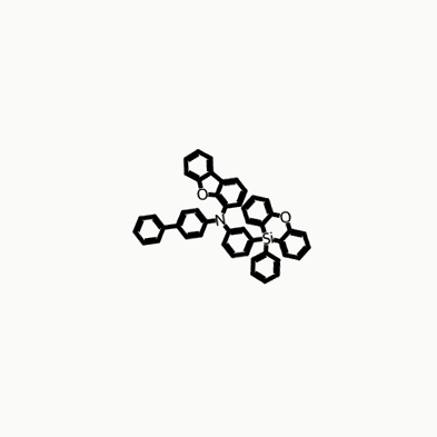 c1ccc(-c2ccc(N(c3cccc([Si]4(c5ccccc5)c5ccccc5Oc5ccccc54)c3)c3cccc4c3oc3ccccc34)cc2)cc1